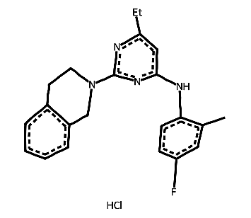 CCc1cc(Nc2ccc(F)cc2C)nc(N2CCc3ccccc3C2)n1.Cl